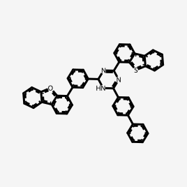 c1ccc(-c2ccc(C3=NC(c4cccc5c4sc4ccccc45)=NC(c4cccc(-c5cccc6c5oc5ccccc56)c4)N3)cc2)cc1